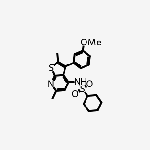 COc1cccc(-c2c(C)sc3nc(C)cc(NS(=O)(=O)C4CCCCC4)c23)c1